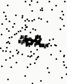 CC1(C)OCC([C@@H](O)C(F)(F)C(=O)O)O1